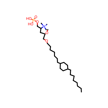 CCCCCCCCC1CCC(CCCCCCCOCC(CC(COP(=O)(O)O)[N+](C)(C)C)OC)CC1